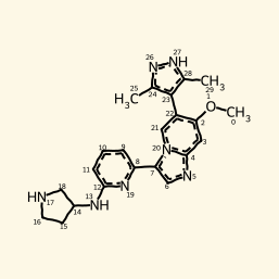 COc1cc2ncc(-c3cccc(NC4CCNC4)n3)n2cc1-c1c(C)n[nH]c1C